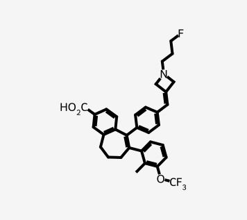 Cc1c(OC(F)(F)F)cccc1C1=C(c2ccc(C=C3CN(CCCF)C3)cc2)c2ccc(C(=O)O)cc2CCC1